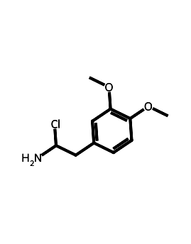 COc1ccc(CC(N)Cl)cc1OC